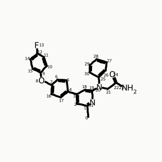 Cc1cc(-c2ccc(Oc3ccc(F)cc3)cc2)cc(N(CC(N)=O)c2ccccc2)n1